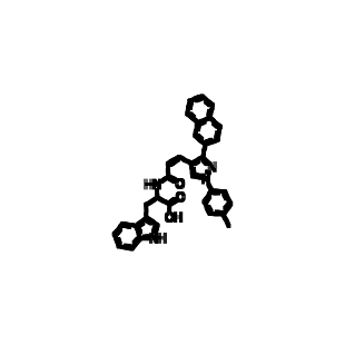 Cc1ccc(-n2cc(/C=C\C(=O)NC(Cc3c[nH]c4ccccc34)C(=O)O)c(-c3ccc4ccccc4c3)n2)cc1